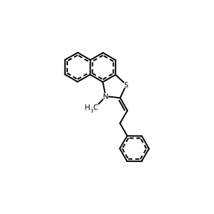 CN1C(=CCc2ccccc2)Sc2ccc3ccccc3c21